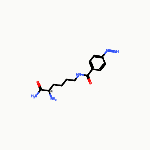 N=Nc1ccc(C(=O)NCCCC[C@@H](N)C(N)=O)cc1